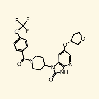 O=C(c1ccc(OC(F)(F)F)cc1)N1CCC(n2c(=O)[nH]c3ncc(O[C@@H]4CCOC4)cc32)CC1